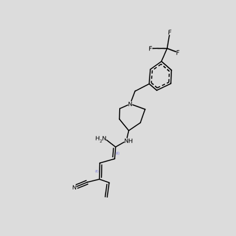 C=C/C(C#N)=C\C=C(/N)NC1CCN(Cc2cccc(C(F)(F)F)c2)CC1